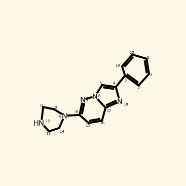 c1ccc(-c2cn3nc(N4CCNCC4)ccc3n2)cc1